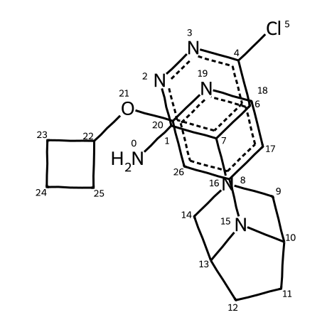 Nc1nnc(Cl)cc1N1CC2CCC(C1)N2c1ccnc(OC2CCC2)c1